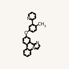 Cc1ccc(Oc2ccc3c4ccccc4n4ccnc4c3c2)cc1-c1ccccn1